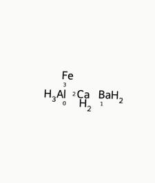 [AlH3].[BaH2].[CaH2].[Fe]